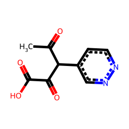 CC(=O)C(C(=O)C(=O)O)c1ccnnc1